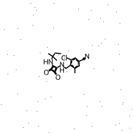 CCC(C)(C)Nc1c(NCc2c(C)cc(C#N)cc2Cl)c(=O)c1=O